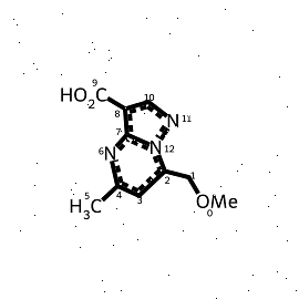 COCc1cc(C)nc2c(C(=O)O)cnn12